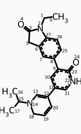 CCN1C(=O)Cc2cc(-c3cc(C4=CN(C(C)C)CC=C4)c[nH]c3=O)ccc21